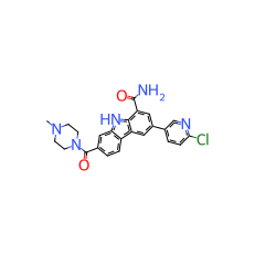 CN1CCN(C(=O)c2ccc3c(c2)[nH]c2c(C(N)=O)cc(-c4ccc(Cl)nc4)cc23)CC1